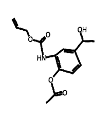 C=CCOC(=O)Nc1cc(C(C)O)ccc1OC(C)=O